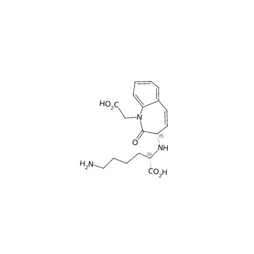 NCCCC[C@H](N[C@H]1C=Cc2ccccc2N(CC(=O)O)C1=O)C(=O)O